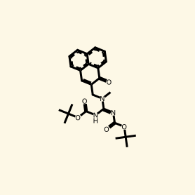 CN(CC1=Cc2cccc3cccc(c23)C1=O)/C(=N/C(=O)OC(C)(C)C)NC(=O)OC(C)(C)C